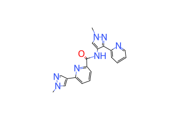 Cn1cc(-c2cccc(C(=O)Nc3cn(C)nc3-c3ccccn3)n2)cn1